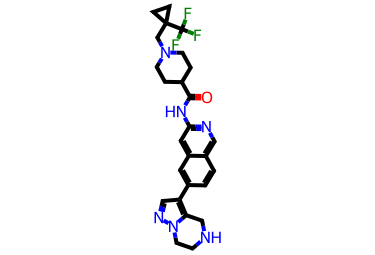 O=C(Nc1cc2cc(-c3cnn4c3CNCC4)ccc2cn1)C1CCN(CC2(C(F)(F)F)CC2)CC1